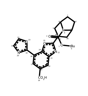 CC(C)(C)OC(=O)N1C2CCC1CN(c1nc3cc(C(=O)O)cc(-c4nccs4)c3o1)C2